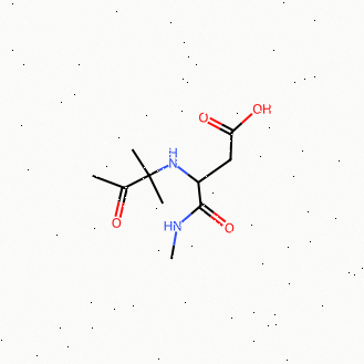 CNC(=O)C(CC(=O)O)NC(C)(C)C(C)=O